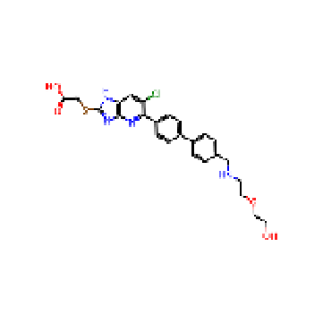 O=C(O)CSc1nc2nc(-c3ccc(-c4ccc(CNCCOCCO)cc4)cc3)c(Cl)cc2[nH]1